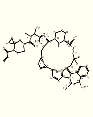 C=CC(=O)N1CCN(C(=O)N(C)C(C(=O)N[C@H]2Cc3nc(cs3)-c3ccc4c(c3)c(c(-c3cccnc3[C@H](C)OC)n4CC(F)(F)F)CC(C)(C)COC(=O)[C@@H]3CCCN(N3)C2=O)C(C)C)CC12CC2